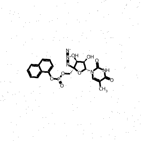 Cc1cn([C@@H]2O[C@@](CO[P](=O)Oc3cccc4ccccc34)(N=[N+]=[N-])[C@@H](O)[C@H]2O)c(=O)[nH]c1=O